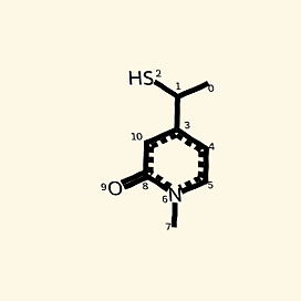 CC(S)c1ccn(C)c(=O)c1